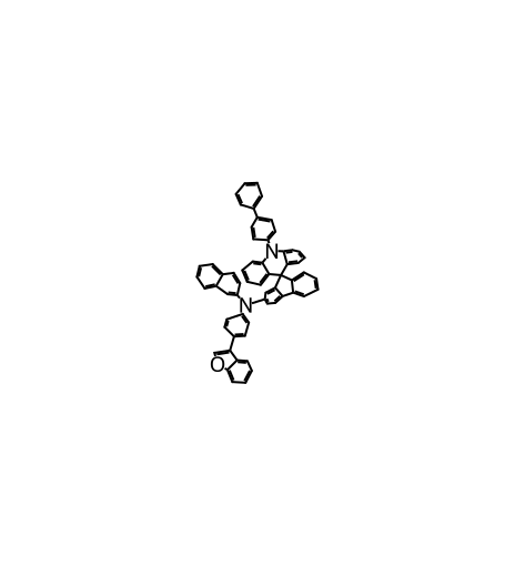 c1ccc(-c2ccc(N3c4ccccc4C4(c5ccccc5-c5ccc(N(c6ccc(-c7coc8ccccc78)cc6)c6ccc7ccccc7c6)cc54)c4ccccc43)cc2)cc1